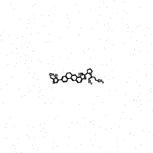 C=C(CCC)N1CCCC1c1nc2ccc3cc4c(cc3c2[nH]1)CCc1cc(-c2cnc(CC)[nH]2)ccc1-4